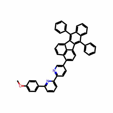 COc1ccc(-c2cccc(-c3ccc(-c4ccc5c6c(cccc46)-c4c-5c(-c5ccccc5)c5ccccc5c4-c4ccccc4)cn3)n2)cc1